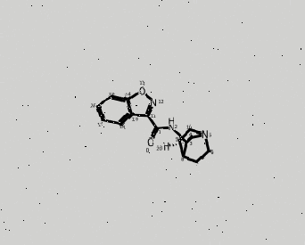 O=C(N[C@H]1CN2CCC1CC2)c1noc2ccccc12